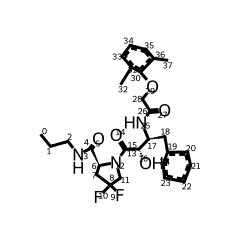 CCCNC(=O)[C@@H]1CC(F)(F)CN1C(=O)[C@@H](O)[C@H](Cc1ccccc1)NC(=O)COc1c(C)cccc1C